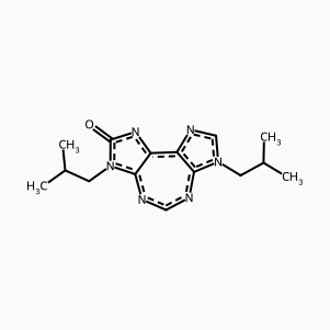 CC(C)Cn1c2ncnc3c(ncn3CC(C)C)c-2nc1=O